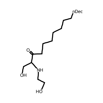 CCCCCCCCCCCCCCCCCC(=O)C(CO)NCCO